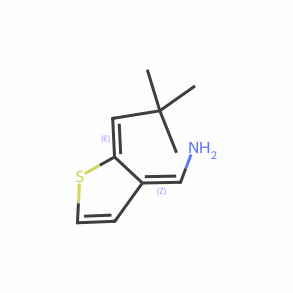 CC(C)(C)/C=c1/scc/c1=C/N